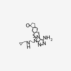 Nc1ncnc2c1nc(Sc1cc3c(cc1I)CCC3=O)n2CCNCC1CC1